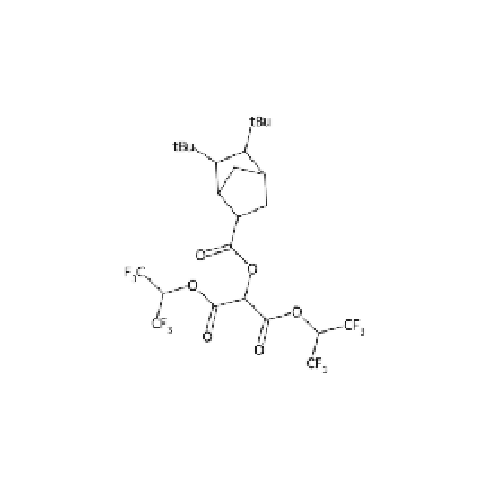 CC(C)(C)C1C2CC(C(=O)OC(C(=O)OC(C(F)(F)F)C(F)(F)F)C(=O)OC(C(F)(F)F)C(F)(F)F)C(C2)C1C(C)(C)C